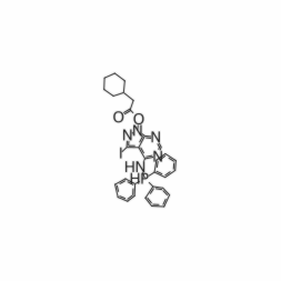 O=C(CC1CCCCC1)On1nc(I)c2c(N[PH](c3ccccc3)(c3ccccc3)c3ccccc3)ncnc21